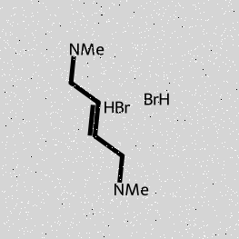 Br.Br.CNC/C=C/CNC